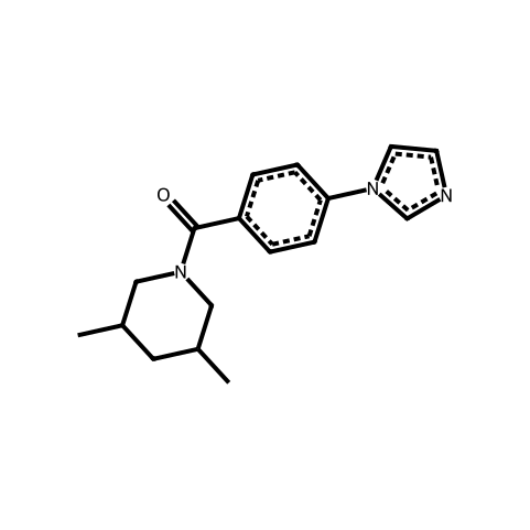 CC1CC(C)CN(C(=O)c2ccc(-n3ccnc3)cc2)C1